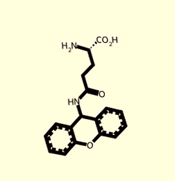 N[C@@H](CCC(=O)NC1c2ccccc2Oc2ccccc21)C(=O)O